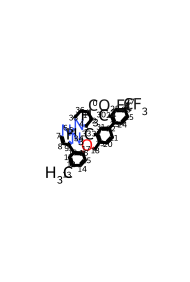 CCOC(=O)C1CCN(c2nccc(-c3cc(C)ccc3OCc3ccc(-c4ccc(C(F)(F)F)cc4C)cc3C)n2)CC1